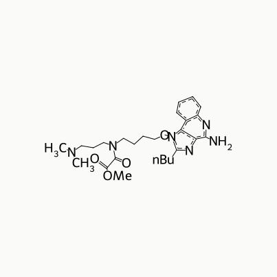 CCCCc1nc2c(N)nc3ccccc3c2n1OCCCCN(CCCN(C)C)C(=O)C(=O)OC